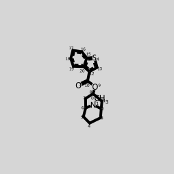 CN1C2CCCC1CC(OC(=O)c1csc3ccccc13)C2